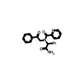 CC(C)C(C(N)=O)N(CC(=O)c1ccccc1)C(=O)c1ccccn1